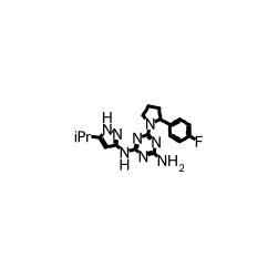 CC(C)c1cc(Nc2nc(N)nc(N3CCCC3c3ccc(F)cc3)n2)n[nH]1